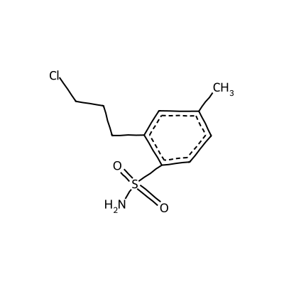 Cc1ccc(S(N)(=O)=O)c(CCCCl)c1